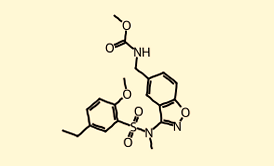 CCc1ccc(OC)c(S(=O)(=O)N(C)c2noc3ccc(CNC(=O)OC)cc23)c1